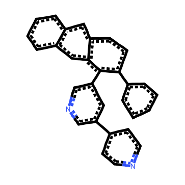 c1ccc(-c2ccc3cc4ccccc4cc3c2-c2cncc(-c3ccncc3)c2)cc1